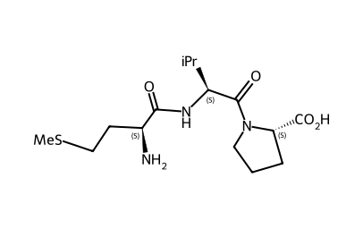 CSCC[C@H](N)C(=O)N[C@H](C(=O)N1CCC[C@H]1C(=O)O)C(C)C